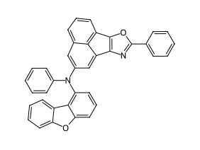 c1ccc(-c2nc3c(o2)-c2cccc4cc(N(c5ccccc5)c5cccc6oc7ccccc7c56)cc-3c24)cc1